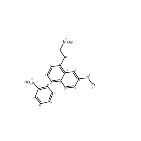 CCOc1ccc2cccc(CCNC(C)=O)c2c1.O=S(=O)(O)c1ccccc1